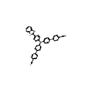 N#Cc1ccc(-c2ccc(N(c3ccc(-c4ccc(C#N)cc4)cc3)c3ccc(-c4nc5ccccc5o4)cc3)cc2)cc1